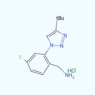 CC(C)(C)c1cn(-c2cc(F)ccc2CN)nn1.Cl